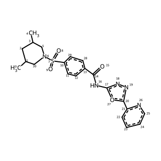 CC1CC(C)CN(S(=O)(=O)c2ccc(C(=O)Nc3nnc(-c4ccccn4)o3)cc2)C1